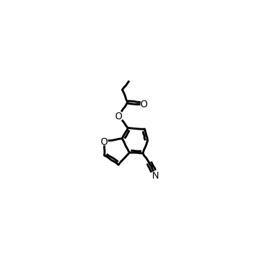 CCC(=O)Oc1ccc(C#N)c2ccoc12